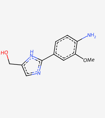 COc1cc(-c2ncc(CO)[nH]2)ccc1N